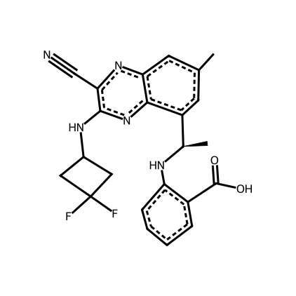 Cc1cc([C@@H](C)Nc2ccccc2C(=O)O)c2nc(NC3CC(F)(F)C3)c(C#N)nc2c1